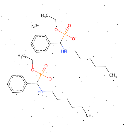 CCCCCCNC(c1ccccc1)P(=O)([O-])OCC.CCCCCCNC(c1ccccc1)P(=O)([O-])OCC.[Ni+2]